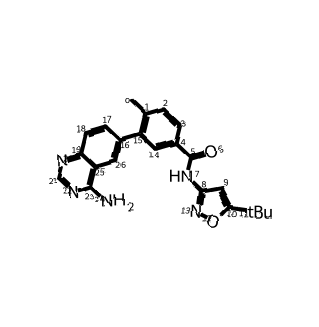 Cc1ccc(C(=O)Nc2cc(C(C)(C)C)on2)cc1-c1ccc2ncnc(N)c2c1